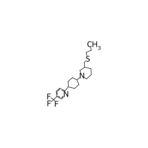 CCCSCC1CCCN(C2CCC(c3ccc(C(F)(F)F)cn3)CC2)C1